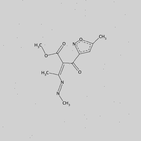 CN=NC(C)=C(C(=O)OC)C(=O)c1cc(C)on1